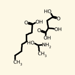 CC(N)O.CCCCCCCC(=O)O.O=C(O)CC(O)C(=O)O